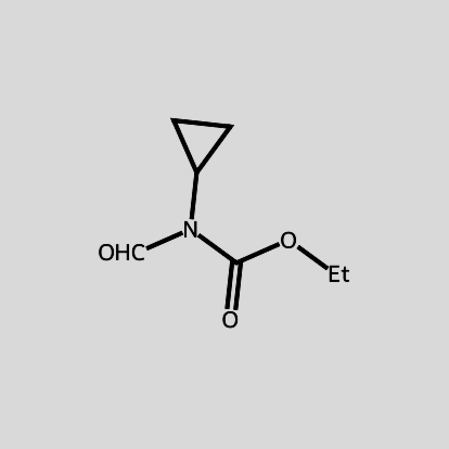 CCOC(=O)N(C=O)C1CC1